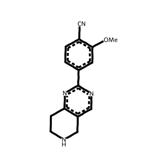 COc1cc(-c2ncc3c(n2)CCNC3)ccc1C#N